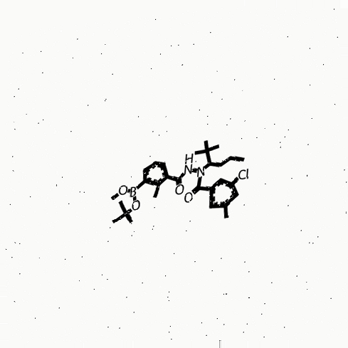 CCCC(N(NC(=O)c1cccc(B(OC)OC(C)(C)C)c1C)C(=O)c1cc(C)cc(Cl)c1)C(C)(C)C